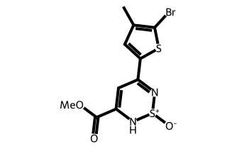 COC(=O)C1=CC(c2cc(C)c(Br)s2)=N[S+]([O-])N1